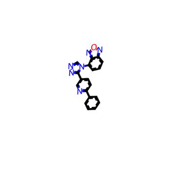 c1ccc(-c2ccc(-c3nncn3-c3cccc4nonc34)cn2)cc1